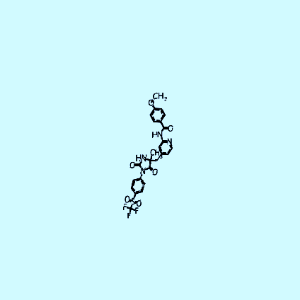 COc1ccc(C(=O)Nc2cc(CC3(C)NC(=O)N(c4ccc(S(=O)(=O)C(F)(F)F)cc4)C3=O)ccn2)cc1